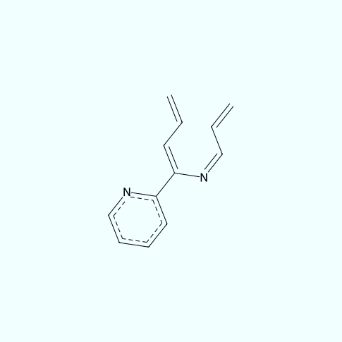 C=C/C=N\C(=C/C=C)c1ccccn1